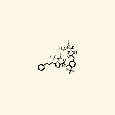 CC(C)n1c(CCCc2ccccc2)ccc1C(=O)Nc1cc(CC(=O)NS(=O)(=O)N(C)C)ccc1C(F)(F)F